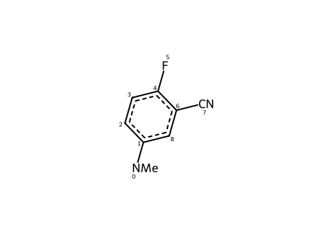 CNc1ccc(F)c(C#N)c1